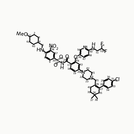 COC1CCC(CNc2ccc(S(=O)(=O)NC(=O)c3ccc(N4CCN(CC5=C(c6ccc(Cl)cc6)CC(C)(C)CC5)CC4)cc3Oc3ccc(NCC(F)F)nc3)cc2[N+](=O)[O-])CC1